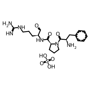 N=C(N)NCCC[C@@H](C=O)NC(=O)[C@@H]1CCCN1C(=O)[C@H](N)Cc1ccccc1.O=S(=O)(O)O